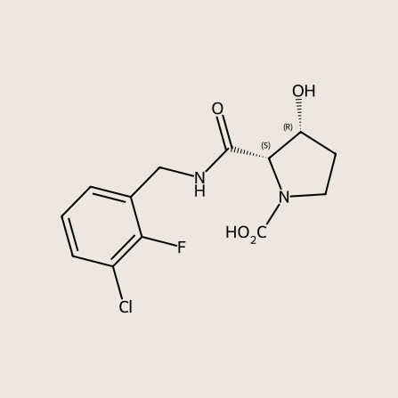 O=C(NCc1cccc(Cl)c1F)[C@@H]1[C@H](O)CCN1C(=O)O